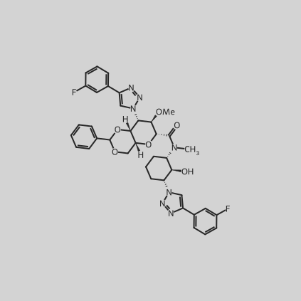 CO[C@@H]1[C@@H](n2cc(-c3cccc(F)c3)nn2)[C@H]2OC(c3ccccc3)OC[C@H]2O[C@H]1C(=O)N(C)[C@H]1CCC[C@@H](n2cc(-c3cccc(F)c3)nn2)[C@@H]1O